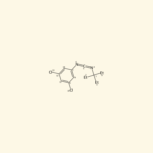 CCC(CC)(CC)N=C=Nc1cc(Cl)cc(Cl)c1